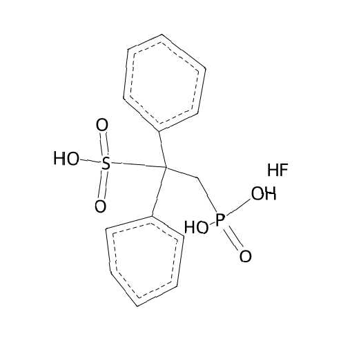 F.O=P(O)(O)CC(c1ccccc1)(c1ccccc1)S(=O)(=O)O